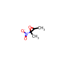 CC1OC1(C)[N+](=O)[O-]